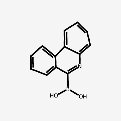 OB(O)c1nc2ccccc2c2ccccc12